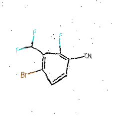 N#Cc1ccc(Br)c(C(F)F)c1F